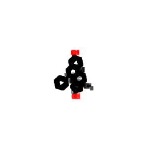 C[C@]12CC[C@@H]3c4ccc(O)cc4C[C@@H](c4ccccc4)[C@H]3[C@@H]1C[C@H](O)C2